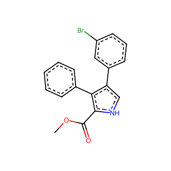 COC(=O)c1[nH]cc(-c2cccc(Br)c2)c1-c1ccccc1